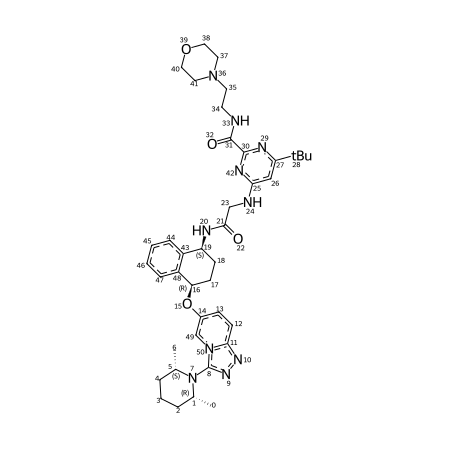 C[C@@H]1CCC[C@H](C)N1c1nnc2ccc(O[C@@H]3CC[C@H](NC(=O)CNc4cc(C(C)(C)C)nc(C(=O)NCCN5CCOCC5)n4)c4ccccc43)cn12